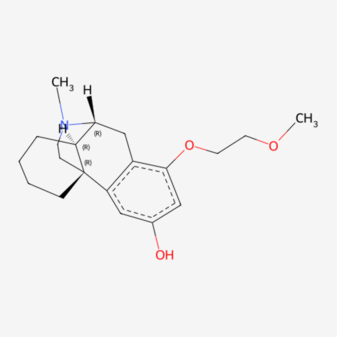 COCCOc1cc(O)cc2c1C[C@@H]1[C@@H]3CCCC[C@]23CCN1C